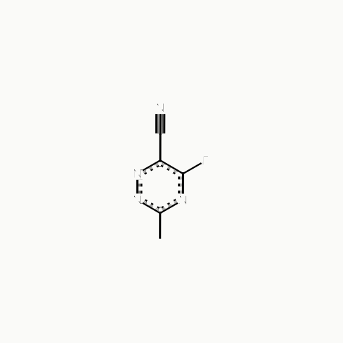 Cc1nnc(C#N)c(F)n1